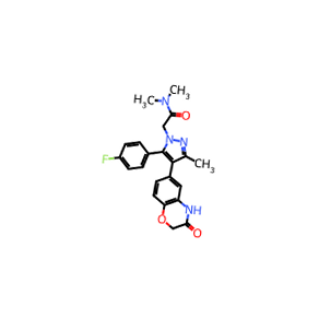 Cc1nn(CC(=O)N(C)C)c(-c2ccc(F)cc2)c1-c1ccc2c(c1)NC(=O)CO2